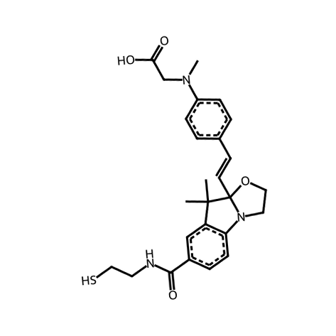 CN(CC(=O)O)c1ccc(/C=C/C23OCCN2c2ccc(C(=O)NCCS)cc2C3(C)C)cc1